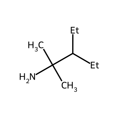 CCC(CC)C(C)(C)N